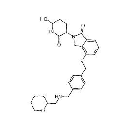 O=C1NC(O)CCC1N1Cc2c(SCc3ccc(CNCC4CCCCO4)cc3)cccc2C1=O